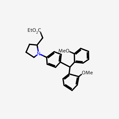 CCOC(=O)CC1CCCN1c1ccc(C(c2ccccc2OC)c2ccccc2OC)cc1